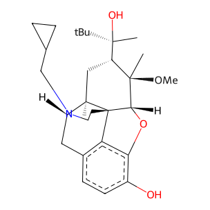 CO[C@]1(C)[C@@H]([C@](C)(O)C(C)(C)C)C[C@]2(C)[C@H]3Cc4ccc(O)c5c4[C@@]2(CCN3CC2CC2)[C@H]1O5